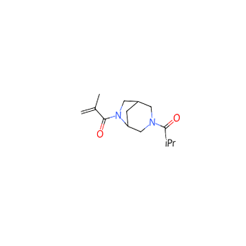 C=C(C)C(=O)N1CC2CC1CN(C(=O)C(C)C)C2